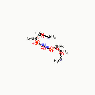 C/C=C\CCCC(=O)O[C@H](C)CCOCC(COP(=O)(O)OCCNC(=O)CC(=O)NCCOP(=O)(O)OCC(COCC[C@@H](C)OC(=O)CCC/C=C\C)NC(C)=O)NC(C)=O